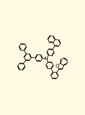 c1ccc(-c2cc(-c3ccccc3)cc(-c3ccc(N(c4ccc(-c5ccccc5-c5cc6ccccc6o5)cc4)c4ccc(-c5cccc6ccccc56)cc4)cc3)c2)cc1